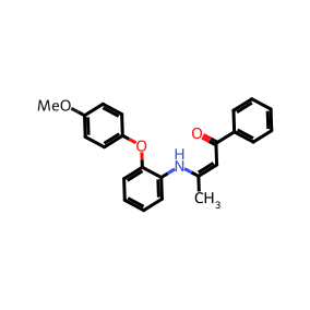 COc1ccc(Oc2ccccc2N/C(C)=C\C(=O)c2ccccc2)cc1